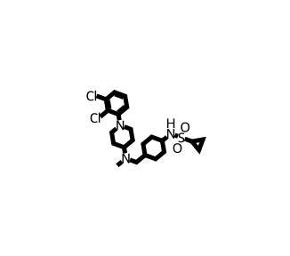 CN(CC1CCC(NS(=O)(=O)C2CC2)CC1)C1CCN(c2cccc(Cl)c2Cl)CC1